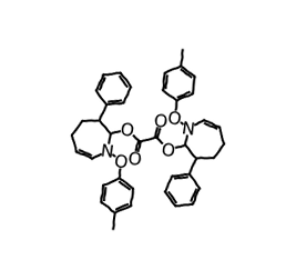 Cc1ccc(ON2C=CCCC(c3ccccc3)C2OC(=O)C(=O)OC2C(c3ccccc3)CCC=CN2Oc2ccc(C)cc2)cc1